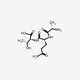 C[C@H](N)C(=O)N[C@@H](CCC(N)=O)C(=O)N[C@H](C(=O)O)[C@@H](C)O